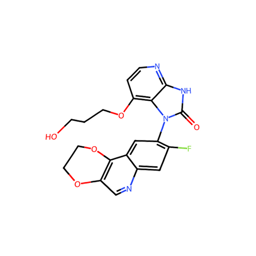 O=c1[nH]c2nccc(OCCCO)c2n1-c1cc2c3c(cnc2cc1F)OCCO3